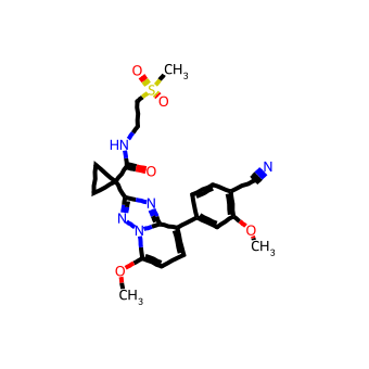 COc1cc(-c2ccc(OC)n3nc(C4(C(=O)NCCS(C)(=O)=O)CC4)nc23)ccc1C#N